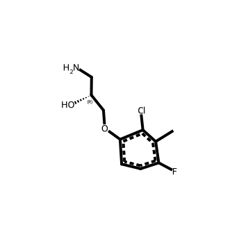 Cc1c(F)ccc(OC[C@H](O)CN)c1Cl